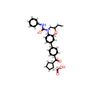 CCC1CN(C(=O)Nc2ccccc2)c2ccc(-c3ccc(C(=O)C4CCC[C@H]4C(=O)O)cc3)cc2O1